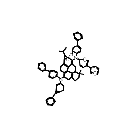 CC(C)C1C2C3=C4C(=C(N(C5=CC=C(c6ccccc6)CC5)C5C=CC(c6ccccc6)=CC5)[C@@H]21)CC1C2=C(CCC1(C)C)CC(N(C1=CC5=C(c6ccccc6)C5CC1)c1ccc(-c5ccccc5)cc1)C(=C42)CC3